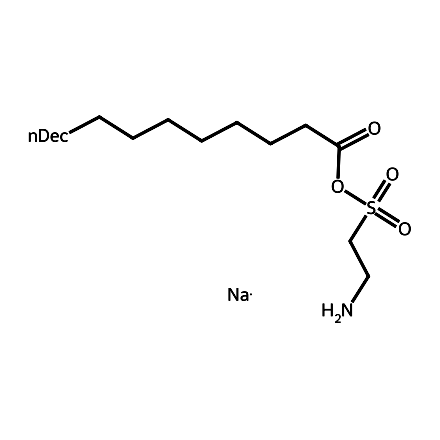 CCCCCCCCCCCCCCCCCC(=O)OS(=O)(=O)CCN.[Na]